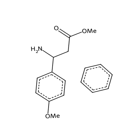 COC(=O)CC(N)c1ccc(OC)cc1.c1ccccc1